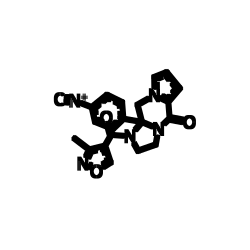 [C-]#[N+]c1ccc(C23Cn4cccc4C(=O)N2CCN3C(=O)c2conc2C)cc1